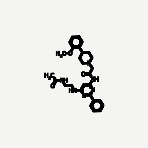 COc1ccccc1C1CCN(CC(=O)Nc2cc(NCCNC(C)=O)nc(-c3ccccc3)n2)CC1